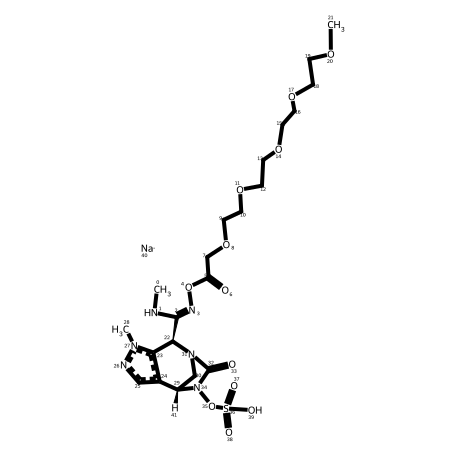 CN/C(=N\OC(=O)COCCOCCOCCOCCOC)[C@@H]1c2c(cnn2C)[C@@H]2CN1C(=O)N2OS(=O)(=O)O.[Na]